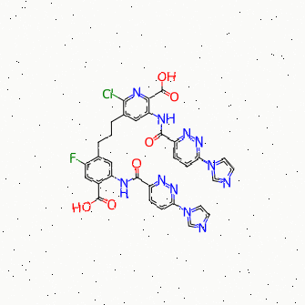 O=C(Nc1cc(CCCc2cc(NC(=O)c3ccc(-n4ccnc4)nn3)c(C(=O)O)nc2Cl)c(F)cc1C(=O)O)c1ccc(-n2ccnc2)nn1